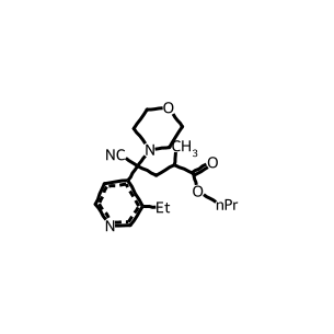 CCCOC(=O)C(C)CC(C#N)(c1ccncc1CC)N1CCOCC1